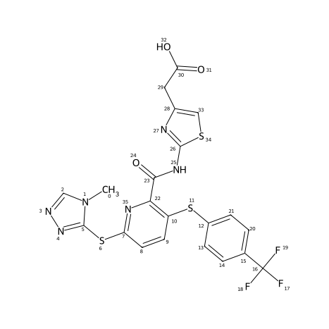 Cn1cnnc1Sc1ccc(Sc2ccc(C(F)(F)F)cc2)c(C(=O)Nc2nc(CC(=O)O)cs2)n1